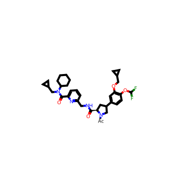 CC(=O)N1CC(c2ccc(OC(F)F)c(OCC3CC3)c2)C[C@@H]1C(=O)NCc1cccc(C(=O)N(CC2CC2)C2CCCCC2)n1